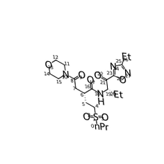 CCCS(=O)(=O)CC[C@H](CC(=O)N1CCOCC1)C(=O)N[C@@H](CC)C(=O)c1nc(CC)no1